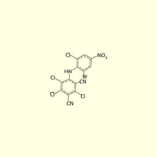 N#Cc1c(Cl)c(Cl)c(Nc2c(Cl)cc([N+](=O)[O-])cc2Br)c(C#N)c1Cl